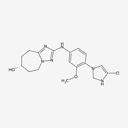 COc1cc(Nc2nc3n(n2)CC[C@H](O)CC3)ccc1N1C=C(Cl)NC1